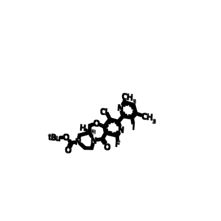 Cc1cc(C)c(I)c(-c2nc(F)c3c(c2Cl)OC[C@H]2CN(C(=O)OC(C)(C)C)CCN2C3=O)n1